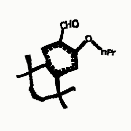 CCCOc1cc2c(cc1C=O)C(C)(C)CCC2(C)C